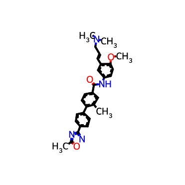 COc1ccc(NC(=O)c2ccc(-c3ccc(-c4noc(C)n4)cc3)c(C)c2)cc1C=CCN(C)C